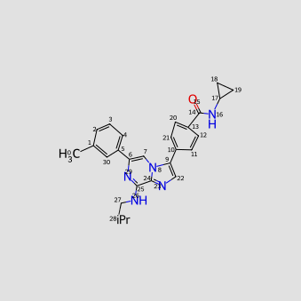 Cc1cccc(-c2cn3c(-c4ccc(C(=O)NC5CC5)cc4)cnc3c(NCC(C)C)n2)c1